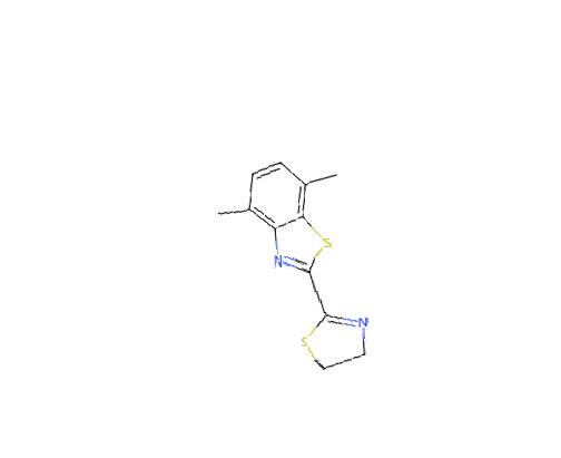 Cc1ccc(C)c2sc(C3=NCCS3)nc12